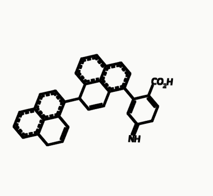 N=C1C=C(c2ccc3cccc4c3c2C=CC4c2ccc3cccc4c3c2C=CC4)C(C(=O)O)=CC1